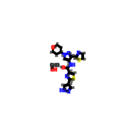 O=C(Nc1cn(C2CCOCC2)nc1-c1nccs1)c1csc(-c2cn[nH]c2)n1.O=CO